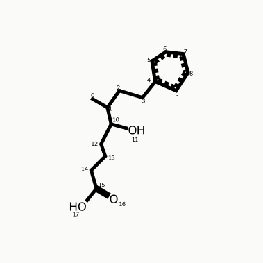 CC(CCc1ccccc1)C(O)CCCC(=O)O